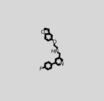 Fc1ccc(-c2cncc(CNCCOc3ccc4occc4c3)c2)cc1